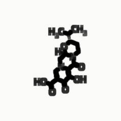 CC(C)[C@@H]1CCN2C(=O)c3c(O)c(=O)c(C(=O)O)cn3C[C@@H]2O1